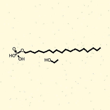 CCCCCCCCCCCCCCCCCCOP(=O)(O)O.CCO